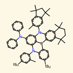 Cc1cc(C(C)(C)C)ccc1N1c2cc(C(C)(C)C)ccc2B2c3cc4c(cc3N(c3cc5c(cc3C)C(C)(C)CC5(C)C)c3cc(N(c5ccccc5)c5ccccc5)cc1c32)C(C)(C)CCC4(C)C